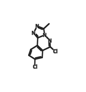 Cc1nnc2c3ccc(Cl)cc3c(Cl)nn12